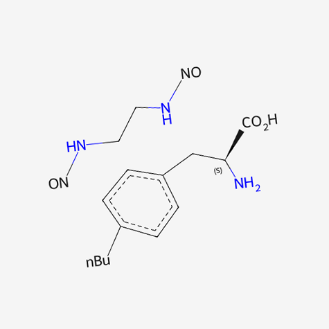 CCCCc1ccc(C[C@H](N)C(=O)O)cc1.O=NNCCNN=O